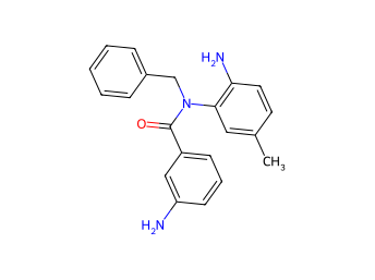 Cc1ccc(N)c(N(Cc2ccccc2)C(=O)c2cccc(N)c2)c1